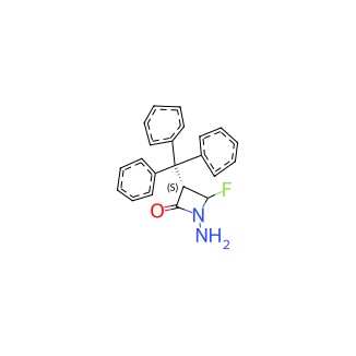 NN1C(=O)[C@H](C(c2ccccc2)(c2ccccc2)c2ccccc2)C1F